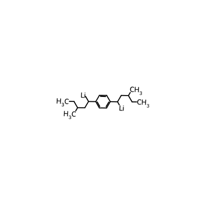 [Li][CH](CC(C)CC)c1ccc([CH]([Li])CC(C)CC)cc1